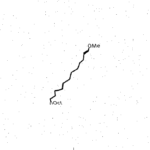 [CH2]OC=CCCCCCCCCCCCCCCCCCC